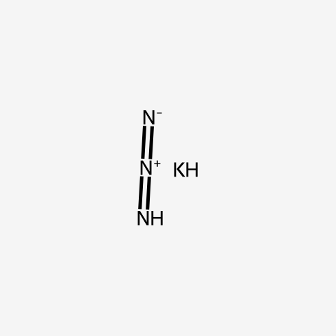 [KH].[N-]=[N+]=N